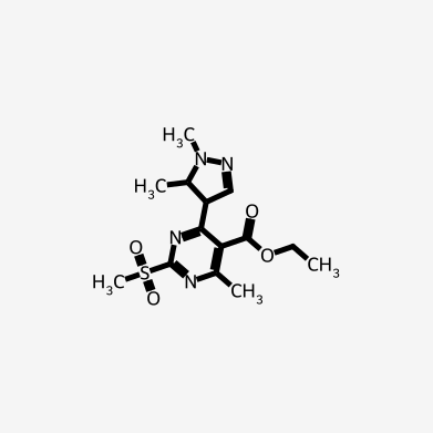 CCOC(=O)c1c(C)nc(S(C)(=O)=O)nc1C1C=NN(C)C1C